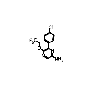 Nc1cnc(OCC(F)(F)F)c(-c2ccc(Cl)cc2)n1